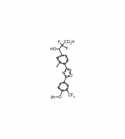 Cc1cc(C(O)C(F)(F)C(=O)O)ccc1-c1noc(-c2ccc(OC(C)C)c(C(F)(F)F)c2)n1